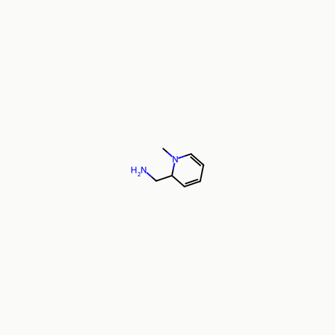 CN1C=CC=CC1CN